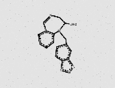 O=CC1CN=Cc2ccccc2N1Cc1ccc2nonc2c1